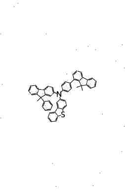 CC1(C)c2ccccc2-c2cccc(-c3ccc(N(c4ccc5c(c4)C(C)(c4ccccc4)c4ccccc4-5)c4ccc5sc6ccccc6c5c4)cc3)c21